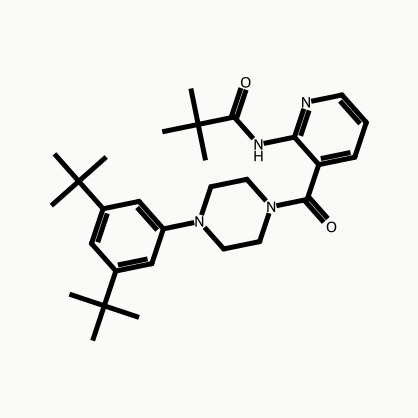 CC(C)(C)C(=O)Nc1ncccc1C(=O)N1CCN(c2cc(C(C)(C)C)cc(C(C)(C)C)c2)CC1